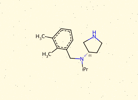 Cc1cccc(CN(C(C)C)[C@H]2CCNC2)c1C